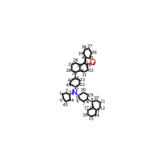 c1ccc(N(c2ccc(-c3cccc4ccccc34)cc2)c2ccc(-c3cccc4c3ccc3oc5ccccc5c34)cc2)cc1